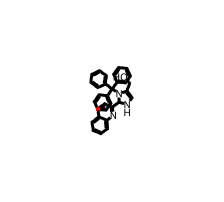 OCC1=CNC(c2ccc3ccccc3n2)N1C(c1ccccc1)(c1ccccc1)c1ccccc1